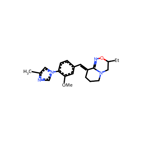 CCC1CN2CCC/C(=C\c3ccc(-n4cnc(C)c4)c(OC)c3)C2=NO1